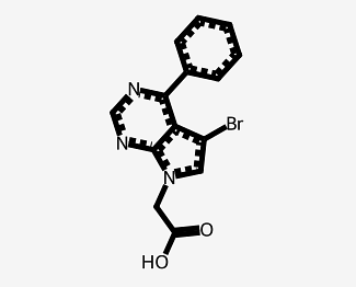 O=C(O)Cn1cc(Br)c2c(-c3ccccc3)ncnc21